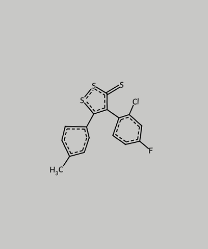 Cc1ccc(-c2ssc(=S)c2-c2ccc(F)cc2Cl)cc1